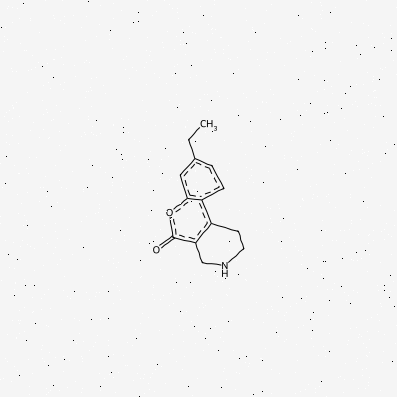 CCc1ccc2c3c(c(=O)oc2c1)CNCC3